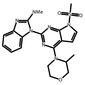 CNc1nc2ccccc2n1-c1nc(N2CCOCC2C)c2ccn(S(C)(=O)=O)c2n1